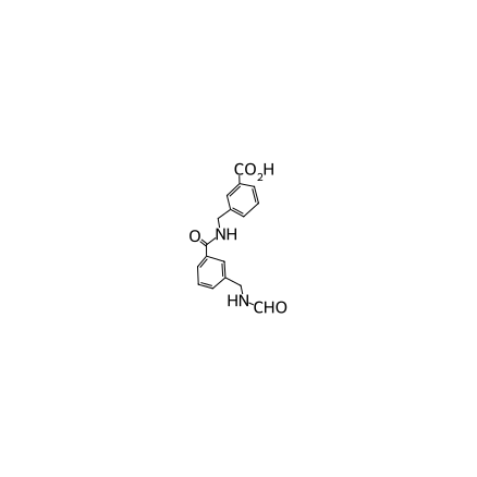 O=CNCc1cccc(C(=O)NCc2cccc(C(=O)O)c2)c1